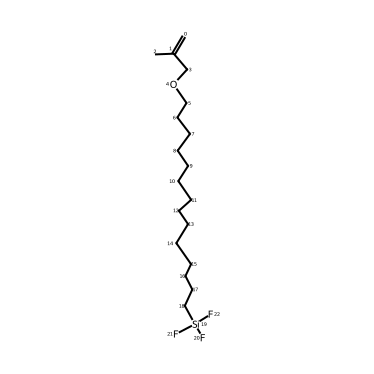 C=C(C)COCCCCCCCCCCCCCC[Si](F)(F)F